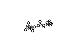 c1ccc(-c2nc(-c3ccccc3)nc(-n3c4ccccc4c4cc(-c5ccc6c(c5)c5ccccc5n6-c5cncc(-c6ccc7oc8cccnc8c7n6)c5)ccc43)n2)cc1